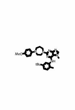 COc1ccc(N2CCCN(c3nc(Nc4cc(C(C)(C)C)ccc4C)c4c(ncn4C)n3)CC2)cc1